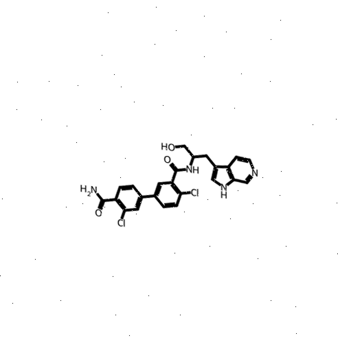 NC(=O)c1ccc(-c2ccc(Cl)c(C(=O)NC(CO)Cc3c[nH]c4cnccc34)c2)cc1Cl